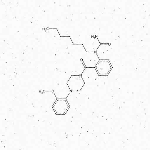 CCCCCCCN(C(N)=O)c1ccccc1C(=O)N1CCN(c2ccccc2OC)CC1